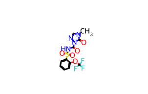 Cn1cnn(C(=O)NS(=O)(=O)c2ccccc2OC(F)(F)F)c1=O